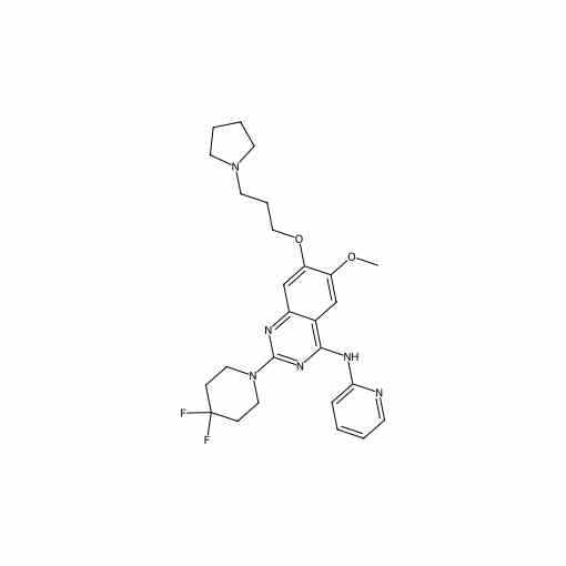 COc1cc2c(Nc3ccccn3)nc(N3CCC(F)(F)CC3)nc2cc1OCCCN1CCCC1